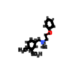 CCN(CCOc1ccccc1)Cc1ccc(C)c(S(=O)(=O)O)c1